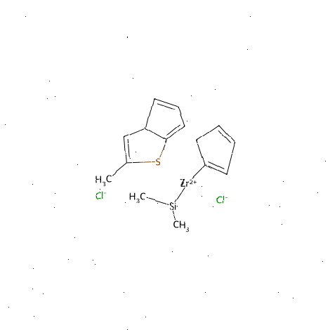 CC1=CC2C=CC=C2S1.C[Si](C)[Zr+2][C]1=CC=CC1.[Cl-].[Cl-]